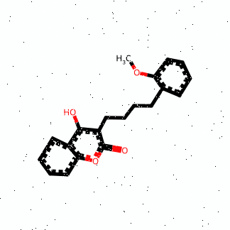 COc1ccccc1CCCCc1c(O)c2ccccc2oc1=O